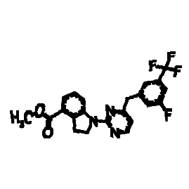 COC(=O)c1cccc2c1CCN2c1nccc(Cc2cc(F)cc(C(F)(F)F)c2)n1